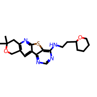 CC1(C)Cc2nc3sc4c(NCCC5CCCCO5)ncnc4c3cc2CO1